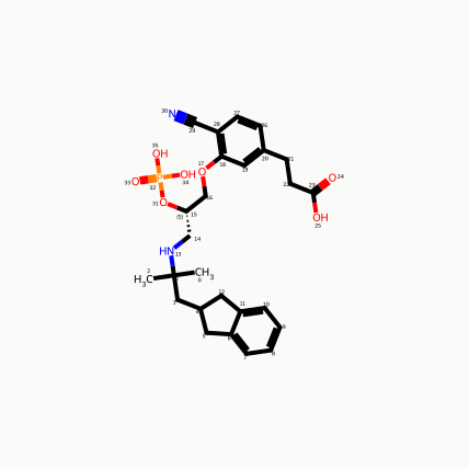 CC(C)(CC1Cc2ccccc2C1)NC[C@@H](COc1cc(CCC(=O)O)ccc1C#N)OP(=O)(O)O